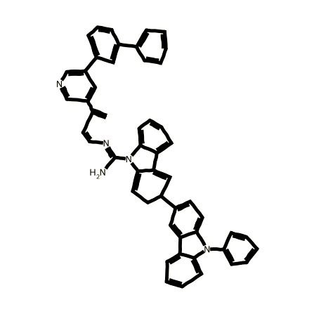 C=C(/C=C\N=C(/N)n1c2c(c3ccccc31)=CC(c1ccc3c(c1)c1ccccc1n3-c1ccccc1)CC=2)c1cncc(-c2cccc(-c3ccccc3)c2)c1